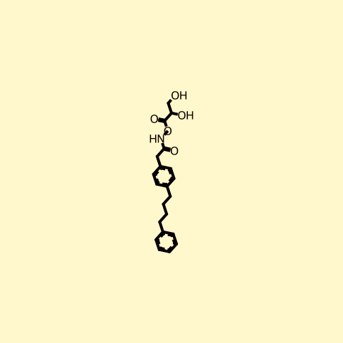 O=C(Cc1ccc(CCCCc2ccccc2)cc1)NOC(=O)C(O)CO